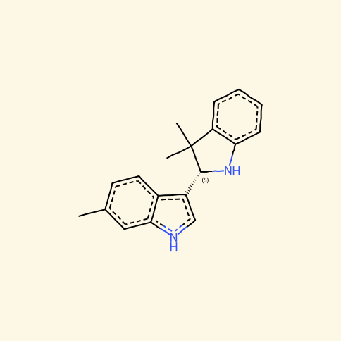 Cc1ccc2c([C@H]3Nc4ccccc4C3(C)C)c[nH]c2c1